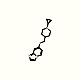 c1cn2ccc(OCC3CCN(C4CC4)CC3)cc2n1